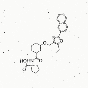 CCc1oc(-c2ccc3ccccc3c2)nc1COC1CCCC(C(=O)NC2(C(=O)O)CCCC2)C1